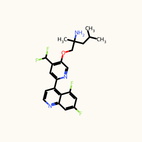 CC(C)CC(C)(N)COc1cnc(-c2ccnc3cc(F)cc(F)c23)cc1C(F)F